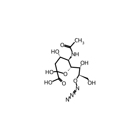 CC(=O)N[C@H]1[C@H]([C@H](O)[C@@H](CO)ON=[N+]=[N-])OC(O)(C(=O)O)C[C@@H]1O